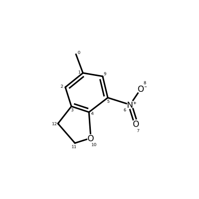 Cc1cc2c(c([N+](=O)[O-])c1)OCC2